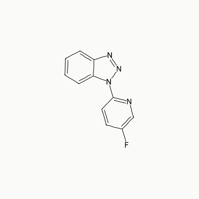 Fc1ccc(-n2nnc3ccccc32)nc1